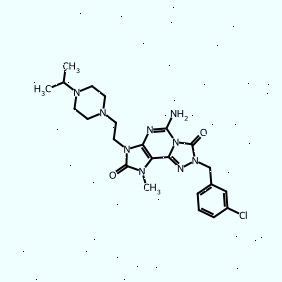 CC(C)N1CCN(CCn2c(=O)n(C)c3c2nc(N)n2c(=O)n(Cc4cccc(Cl)c4)nc32)CC1